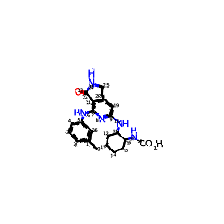 Cc1cccc(Nc2nc(NC3CCCCC3NC(=O)O)cc3c2C(=O)NC3)c1